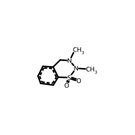 CN1Cc2ccccc2S(=O)(=O)N1C